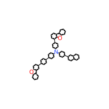 c1ccc2cc(-c3ccc(N(c4ccc(-c5ccc(-c6ccc7oc8ccccc8c7c6)cc5)cc4)c4ccc(-c5cccc6c5oc5ccccc56)cc4)cc3)ccc2c1